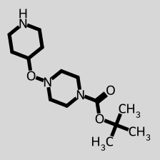 CC(C)(C)OC(=O)N1CCN(OC2CCNCC2)CC1